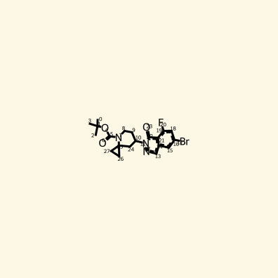 CC(C)(C)OC(=O)N1CCC(n2ncc3cc(Br)cc(F)c3c2=O)CC12CC2